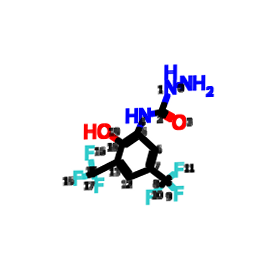 NNC(=O)Nc1cc(C(F)(F)F)cc(C(F)(F)F)c1O